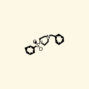 O=S(=O)(c1[c]cccc1)N1CCN(Cc2ccccc2)CC1